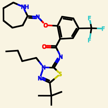 CCCCn1nc(C(C)(C)C)sc1=NC(=O)c1cc(C(F)(F)F)ccc1ON=C1CCCCCN1